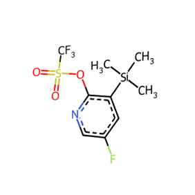 C[Si](C)(C)c1cc(F)cnc1OS(=O)(=O)C(F)(F)F